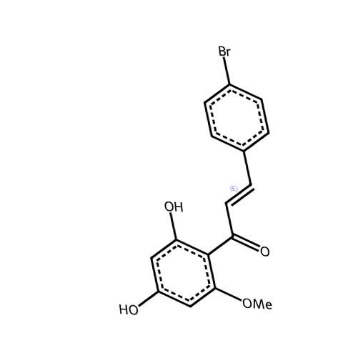 COc1cc(O)cc(O)c1C(=O)/C=C/c1ccc(Br)cc1